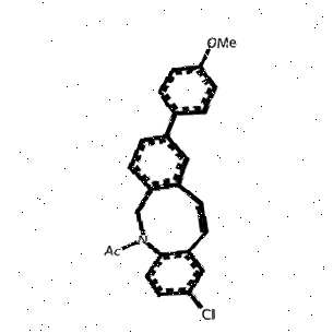 COc1ccc(-c2ccc3c(c2)C=Cc2cc(Cl)ccc2N(C(C)=O)C3)cc1